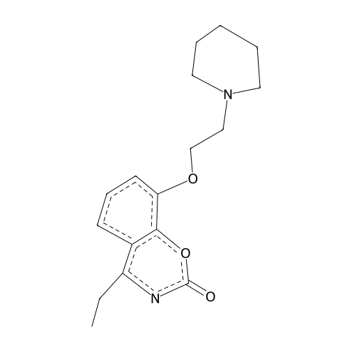 CCc1nc(=O)oc2c(OCCN3CCCCC3)cccc12